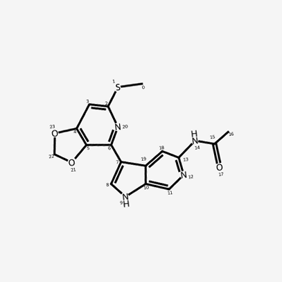 CSc1cc2c(c(-c3c[nH]c4cnc(NC(C)=O)cc34)n1)OCO2